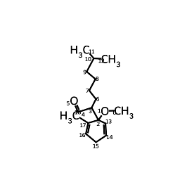 COC1(C(C=O)CCCCC(C)C)C=CCC=C1C